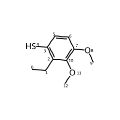 CCc1c(S)ccc(OC)c1OC